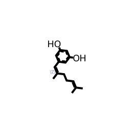 CC(C)=CCC/C(C)=C\c1cc(O)cc(O)c1